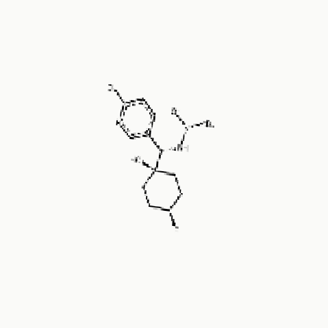 CC(C)(C)[S+]([O-])N[C@@H](c1ccc(Cl)nc1)[C@]1(O)CC[C@@H](F)CC1